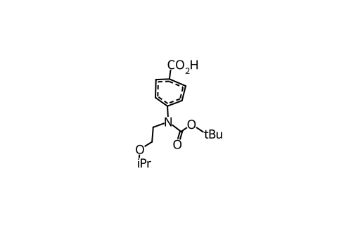 CC(C)OCCN(C(=O)OC(C)(C)C)c1ccc(C(=O)O)cc1